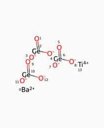 [Ba+2].[O]=[Ge]([O-])[O-].[O]=[Ge]([O-])[O-].[O]=[Ge]([O-])[O-].[Ti+4]